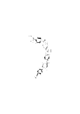 COC(=O)c1ccc(CN2CCC(NCc3ccc(OC4CCN(c5ccc(C#N)cc5)CC4)cn3)CC2)cc1